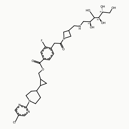 O=C(OCC1CC1C1CCN(c2ncc(Cl)cn2)CC1)c1ccc(CC(=O)N2CC(CNC[C@H](O)C(O)[C@H](O)[C@H](O)CO)C2)c(F)c1